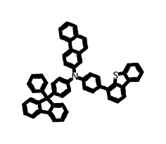 c1ccc(C2(c3ccc(N(c4ccc(-c5cccc6c5sc5ccccc56)cc4)c4ccc5c(ccc6ccccc65)c4)cc3)c3ccccc3-c3ccccc32)cc1